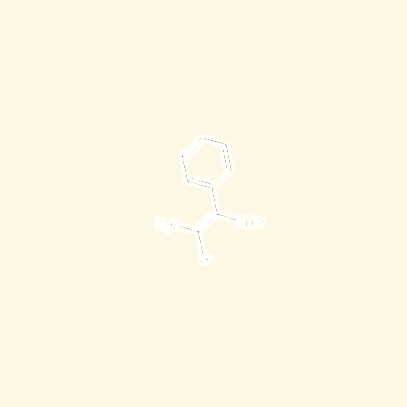 C/C(Br)=C(/C=O)c1ccccc1